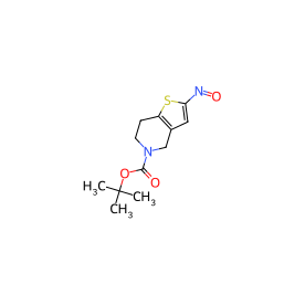 CC(C)(C)OC(=O)N1CCc2sc(N=O)cc2C1